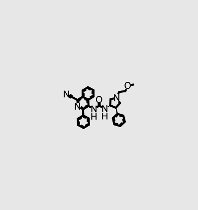 COCCN1C[C@@H](NC(=O)Nc2c(-c3ccccc3)nc(C#N)c3ccccc23)[C@H](c2ccccc2)C1